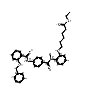 CCOC(=O)CCCCCOc1ccccc1N(C)C(=O)c1ccc(NC(=O)c2ccccc2OCc2ccccc2)cc1